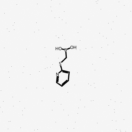 OB(O)CSc1ccccn1